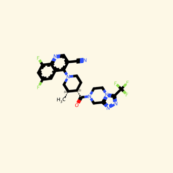 C[C@@H]1CN(c2c(C#N)cnc3c(F)cc(F)cc23)CC[C@@H]1C(=O)N1CCn2c(nnc2C(F)(F)F)C1